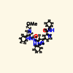 COCCN1C[C@@H](NC(=O)Nc2c(C)c(-c3ccnc(C(=O)NC4CCCCC4)c3)nn2-c2ccccc2)[C@H](c2ccccc2)C1